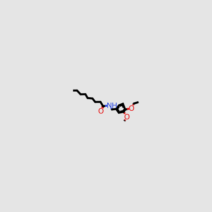 CCCCCCCCC(=O)NCc1ccc(OCC)c(OC)c1